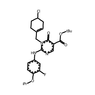 CC(C)Oc1ccc(Nc2ncc(C(=O)OC(C)(C)C)c(=O)n2CC2=CCC(Cl)CC2)cc1F